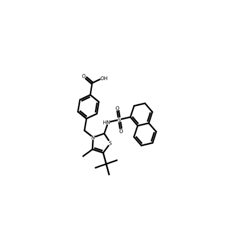 CC1=C(C(C)(C)C)SC(NS(=O)(=O)C2=c3ccccc3=CCC2)N1Cc1ccc(C(=O)O)cc1